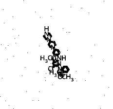 COc1cc(N2CCC(N3CCNCC3)CC2)ccc1Nc1ncc(Cl)c(Nc2ccccc2P(C)(C)=O)n1